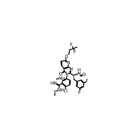 CNc1c(-n2c([C@H](Cc3cc(F)cc(F)c3)NC=O)nc3nc(OCCC(C)(F)F)ccc3c2=O)ccc(Cl)c1C(=N)NSC